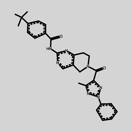 Cc1nn(-c2ccccc2)nc1C(=O)N1CCc2nc(NC(=O)c3ccc(C(C)(C)C)cc3)ncc2C1